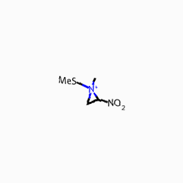 CS[N+]1(C)CC1[N+](=O)[O-]